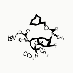 CN(C(=O)OCc1ccccc1)c1cc(CC(CC(C)(C)C(=O)O)NC(=O)OC(C)(C)C)ccc1F